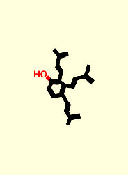 C=C(C)C=Cc1ccc(O)c(C=CC(=C)C)c1C=CC(=C)C